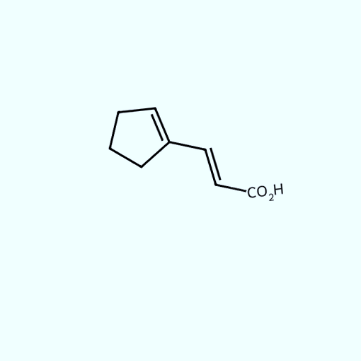 O=C(O)C=CC1=CCCC1